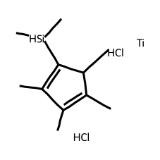 CC1=C(C)C(C)C([SiH](C)C)=C1C.Cl.Cl.[Ti]